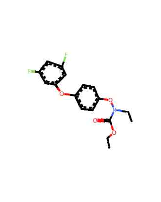 CCOC(=O)N(CC)Oc1ccc(Oc2cc(F)cc(F)c2)cc1